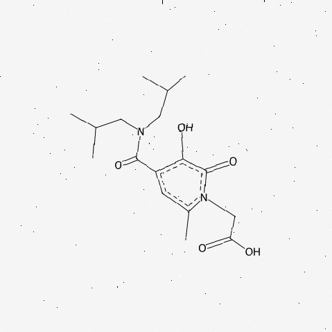 Cc1cc(C(=O)N(CC(C)C)CC(C)C)c(O)c(=O)n1CC(=O)O